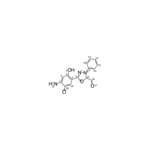 Nc1cc(O)c(C2=NN(c3ccccc3)C(C=O)O2)cc1Cl